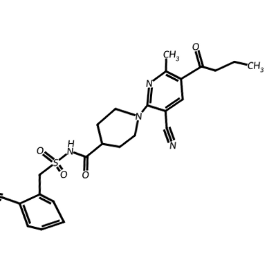 CCCC(=O)c1cc(C#N)c(N2CCC(C(=O)NS(=O)(=O)Cc3ccccc3C#N)CC2)nc1C